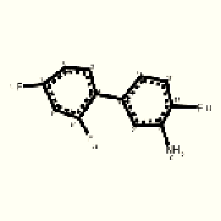 Nc1cc(-c2ccc(F)cc2F)ccc1F